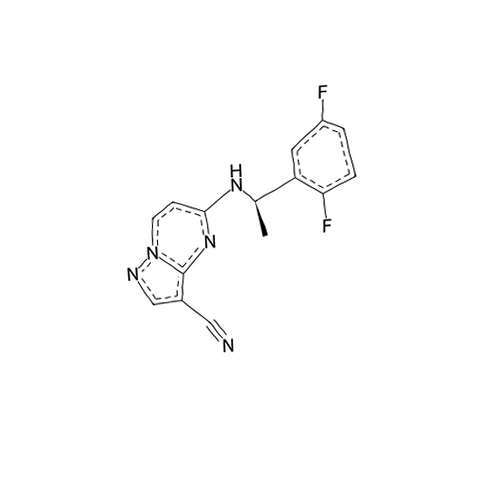 C[C@@H](Nc1ccn2ncc(C#N)c2n1)c1cc(F)ccc1F